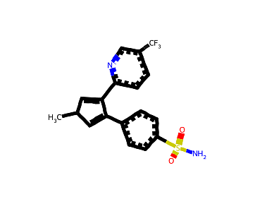 CC1C=C(c2ccc(S(N)(=O)=O)cc2)C(c2ccc(C(F)(F)F)cn2)=C1